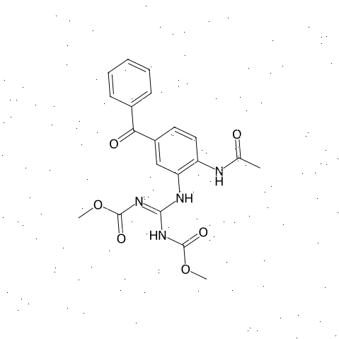 COC(=O)N=C(NC(=O)OC)Nc1cc(C(=O)c2ccccc2)ccc1NC(C)=O